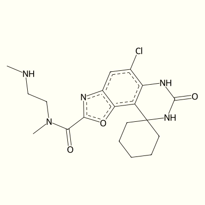 CNCCN(C)C(=O)c1nc2cc(Cl)c3c(c2o1)C1(CCCCC1)NC(=O)N3